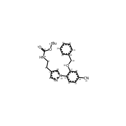 CC(C)(C)OC(=O)NCCc1cnn(-c2ccc(C#N)cc2OCc2ccccc2)c1